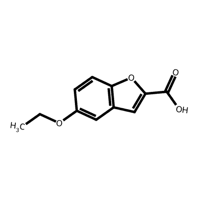 CCOc1ccc2oc(C(=O)O)cc2c1